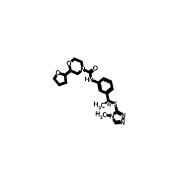 C[C@H](Sc1nncn1C)c1cccc(NC(=O)N2CCOC(C3CCCO3)C2)c1